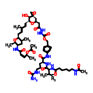 CC(=O)NCCCCCC(=O)N[C@H](C(=O)N[C@@H](CCCNC(N)=O)C(=O)Nc1ccc(COC(=O)NNC(=O)C[C@@H]2C[C@@]3(CO3)[C@H](O)[C@@H](/C=C/C(C)=C/C[C@@H]3O[C@H](C)[C@H](NC(=O)/C=C\[C@H](C)OC(C)=O)C[C@@H]3C)O2)cc1)C(C)C